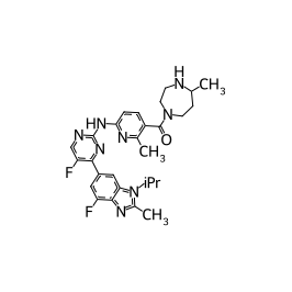 Cc1nc(Nc2ncc(F)c(-c3cc(F)c4nc(C)n(C(C)C)c4c3)n2)ccc1C(=O)N1CCNC(C)CC1